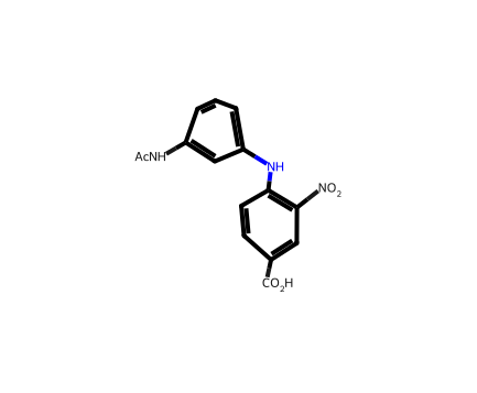 CC(=O)Nc1cccc(Nc2ccc(C(=O)O)cc2[N+](=O)[O-])c1